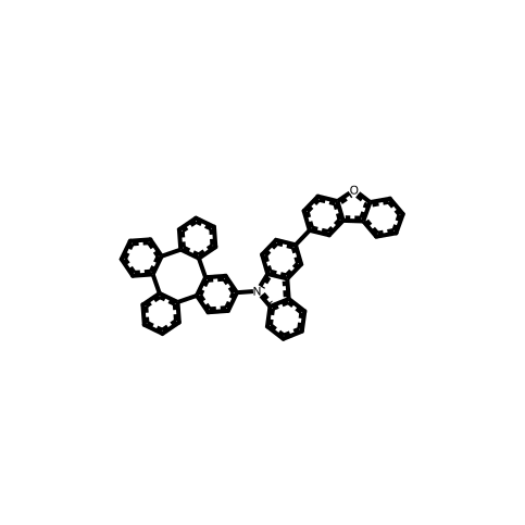 c1ccc2c(c1)-c1ccccc1-c1ccc(-n3c4ccccc4c4cc(-c5ccc6oc7ccccc7c6c5)ccc43)cc1-c1ccccc1-2